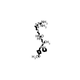 COc1ccc(CN(CCN(C)CCNC(=O)NCCSCc2csc(N=C(N)N)n2)c2ccccn2)cc1